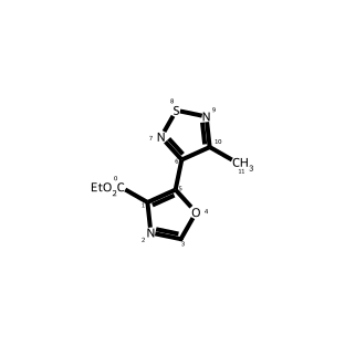 CCOC(=O)c1ncoc1-c1nsnc1C